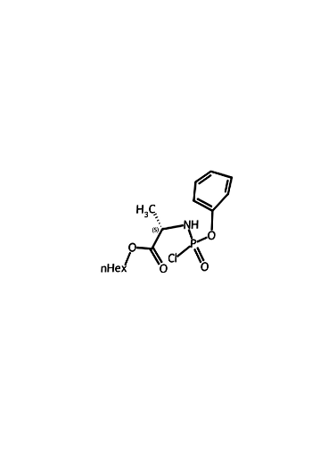 CCCCCCOC(=O)[C@H](C)NP(=O)(Cl)Oc1ccccc1